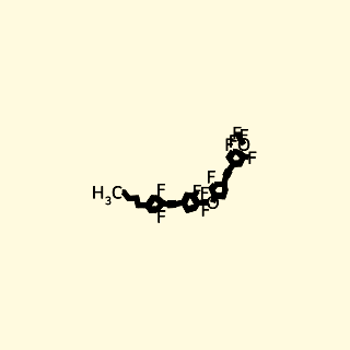 CCCCCc1cc(F)c(C#Cc2ccc(C(F)(F)OC3=CCC(C#Cc4cc(F)c(OC(F)(F)F)c(F)c4)C(F)=C3)c(F)c2)c(F)c1